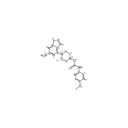 COc1cnc(NC(=O)ON2CCN(c3nc(N)nc4scnc34)[C@@H](C)C2)cn1